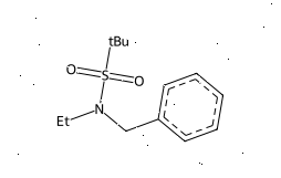 CCN(Cc1ccccc1)S(=O)(=O)C(C)(C)C